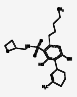 CCCCCc1cc(O)c(C2C=C(C)CCC2)c(O)c1S(=O)(=O)NCC1CCO1